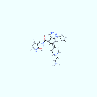 Cc1cc(C)c(CNC(=O)c2cc(C3CCN(CCN(C)C)CC3)cc(NC3CCCC3)c2C=N)c(=O)[nH]1